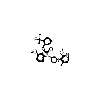 COc1nccc(C)c1N1CC[C@@H](n2c(=O)n(Cc3ccccc3C(F)(F)F)c3c(OC)cccc32)C1